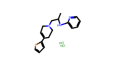 CC(CN1CC=C(c2cccs2)CC1)Nc1ccccn1.Cl.Cl